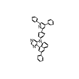 c1ccc(-c2cc(-c3ccccc3)nc(-c3ccc(N4c5cncnc5-c5cc(-c6ccccc6)cc6cccc4c56)cc3)c2)cc1